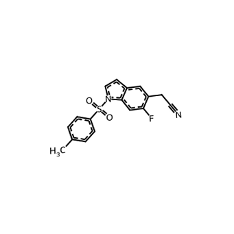 Cc1ccc(S(=O)(=O)n2ccc3cc(CC#N)c(F)cc32)cc1